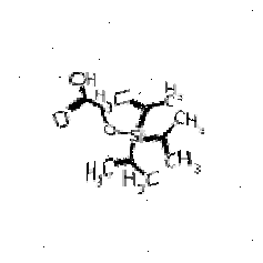 CC(C)[Si](OCC(=O)O)(C(C)C)C(C)C